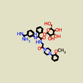 COc1ccccc1N1CCN(C(=O)CNC(=O)C(Nc2cccc(C(=N)N)c2)c2ccccc2O[C@@H]2O[C@H](CO)[C@@H](O)[C@H](O)[C@H]2O)CC1